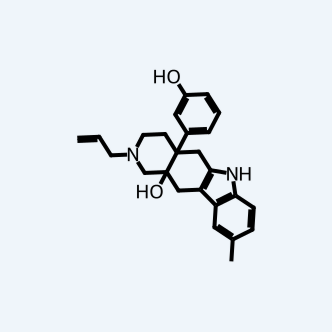 C=CCN1CCC2(c3cccc(O)c3)Cc3[nH]c4ccc(C)cc4c3CC2(O)C1